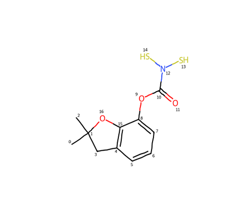 CC1(C)Cc2cccc(OC(=O)N(S)S)c2O1